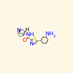 Nc1cccc(-c2cnc(C(=O)N[C@H]3CN4CCC3CC4)s2)c1